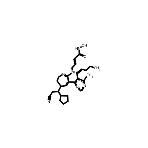 CCC/C=C\c1c(C)ncnc1C1=CC(C(CC#N)C2CCCC2)CCN=C1NC/C=C/C(=O)NO